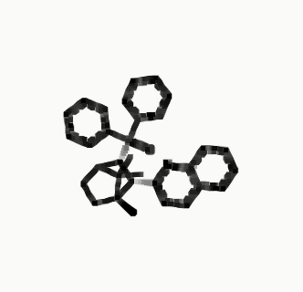 CC1(C)C2CC[C@@]1(C)[C@@H](c1ccc3ccccc3n1)[C@H]2P(=O)(c1ccccc1)c1ccccc1